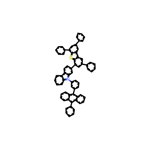 c1ccc(-c2cc(-c3ccccc3)c3sc4c(-c5ccc6c7ccccc7n(-c7cccc(-c8c9ccccc9c(-c9ccccc9)c9ccccc89)c7)c6c5)cc(-c5ccccc5)cc4c3c2)cc1